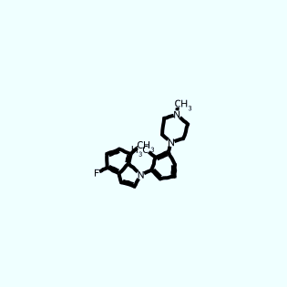 Cc1c(N2CCN(C)CC2)cccc1-n1ccc2c(F)ccc(C)c21